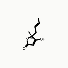 CC=CC[C@@]1(C)SC(=O)C=C1O